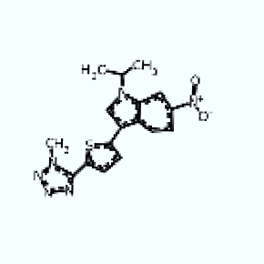 CC(C)n1cc(-c2ccc(-c3nnnn3C)s2)c2ccc([N+](=O)[O-])cc21